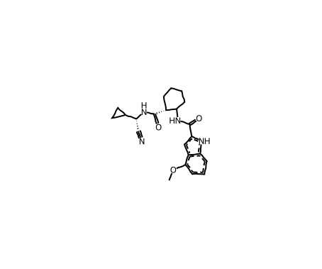 COc1cccc2[nH]c(C(=O)NC3CCCC[C@H]3C(=O)N[C@H](C#N)C3CC3)cc12